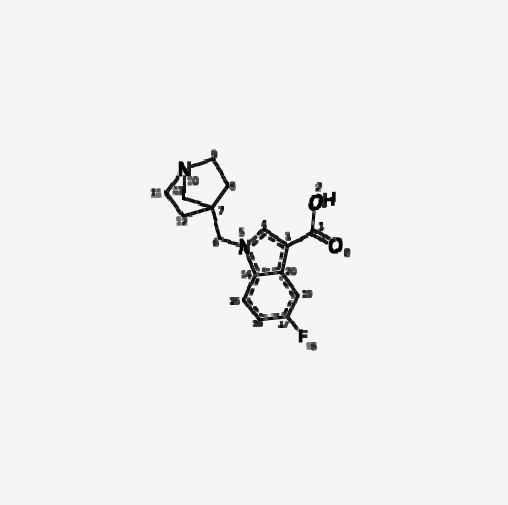 O=C(O)c1cn(CC23CCN(CC2)C3)c2ccc(F)cc12